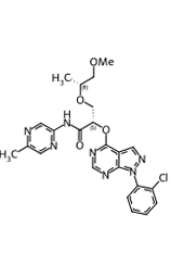 COC[C@@H](C)OC[C@H](Oc1ncnc2c1cnn2-c1ccccc1Cl)C(=O)Nc1cnc(C)cn1